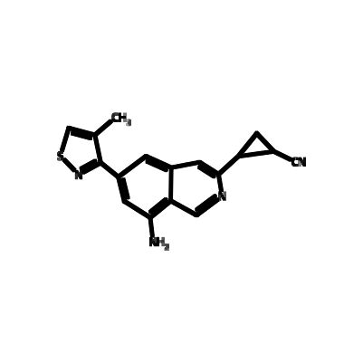 Cc1csnc1-c1cc(N)c2cnc(C3CC3C#N)cc2c1